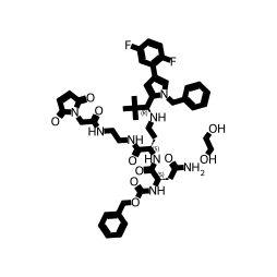 CC(C)(C)[C@@H](NCC[C@H](NC(=O)[C@H](CC(N)=O)NC(=O)OCc1ccccc1)C(=O)NCCNC(=O)CN1C(=O)C=CC1=O)c1cc(-c2cc(F)ccc2F)cn1Cc1ccccc1.OCCO